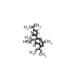 CCC(CC)c1cc(C)n2nc(-c3ccc(N(C)C)nc3C)n(CCO)c(=O)c12